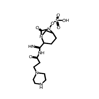 N=C(NC(=O)CCN1CCNCC1)C1CCC2CN1C(=O)N2OS(=O)(=O)O